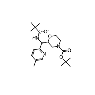 Cc1ccc(C(N[S@@+]([O-])C(C)(C)C)[C@@H]2CN(C(=O)OC(C)(C)C)CCO2)nc1